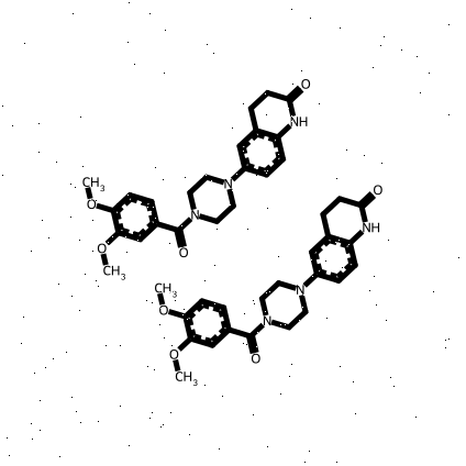 COc1ccc(C(=O)N2CCN(c3ccc4c(c3)CCC(=O)N4)CC2)cc1OC.COc1ccc(C(=O)N2CCN(c3ccc4c(c3)CCC(=O)N4)CC2)cc1OC